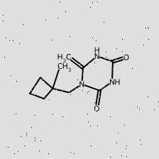 C=C1NC(=O)NC(=O)N1CC1(C)CCC1